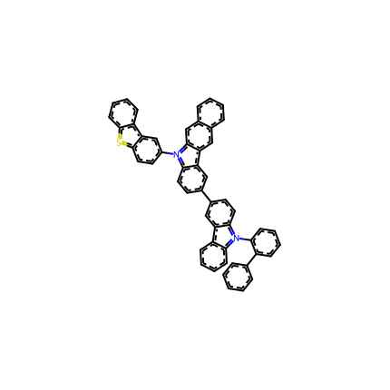 c1ccc(-c2ccccc2-n2c3ccccc3c3cc(-c4ccc5c(c4)c4cc6ccccc6cc4n5-c4ccc5sc6ccccc6c5c4)ccc32)cc1